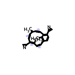 C=C1\C=C/C(C2=NC2)=C(C)/C=C\c2ccc(C3=NC3)c(c2C)/C=C\1